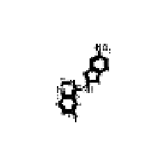 O=[N+]([O-])c1ccc2c(c1)CC(Nc1ncnc3ccc(F)cc13)C2